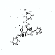 O=C(NCc1cccnc1)c1ccc(-c2cnoc2)nc1NCCc1cccc(F)c1